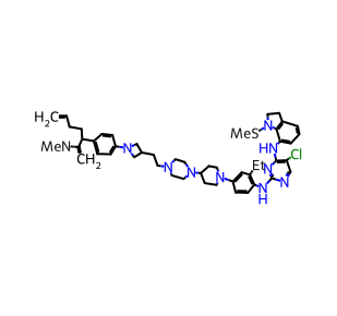 C=CCCC(C(=C)NC)c1ccc(N2CC(CCN3CCN(C4CCN(c5ccc(Nc6ncc(Cl)c(Nc7cccc8c7N(SC)CC8)n6)c(CC)c5)CC4)CC3)C2)cc1